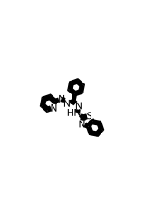 c1ccc(C(N=Nc2ccccn2)=NNc2nc3ccccc3s2)cc1